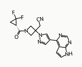 N#CCC1(n2cc(-c3ncnc4[nH]ccc34)cn2)CN(C(=O)[C@@H]2CC2(F)F)C1